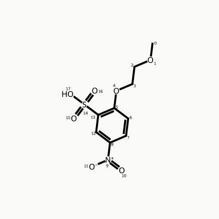 COCCOc1ccc([N+](=O)[O-])cc1S(=O)(=O)O